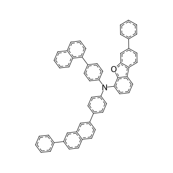 c1ccc(-c2ccc3ccc(-c4ccc(N(c5ccc(-c6cccc7ccccc67)cc5)c5cccc6c5oc5cc(-c7ccccc7)ccc56)cc4)cc3c2)cc1